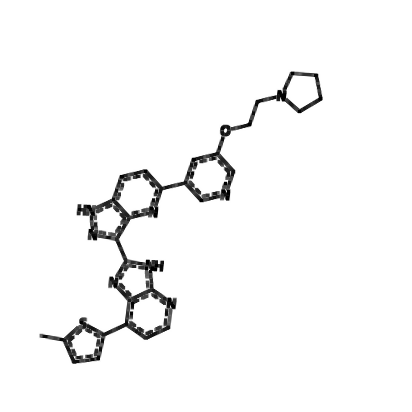 Cc1ccc(-c2ccnc3[nH]c(-c4n[nH]c5ccc(-c6cncc(OCCN7CCCC7)c6)nc45)nc23)s1